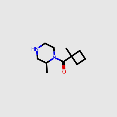 CC1CNCCN1C(=O)C1(C)CCC1